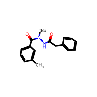 Cc1cccc(C(=O)N(NC(=O)Cc2ccccc2)C(C)(C)C)c1